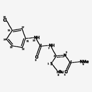 CCCCSC(=NC(=O)NC)NC(=O)Nc1cccc(Cl)c1